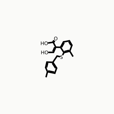 Cc1ccc(CSc2c(C)cccc2C(=CO)C(=O)O)cc1